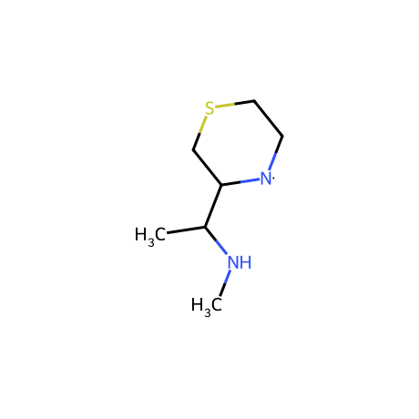 CNC(C)C1CSCC[N]1